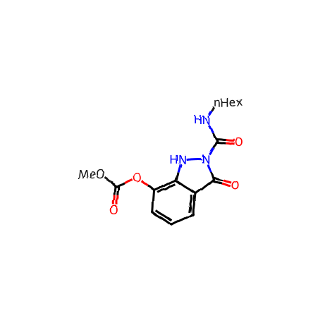 CCCCCCNC(=O)n1[nH]c2c(OC(=O)OC)cccc2c1=O